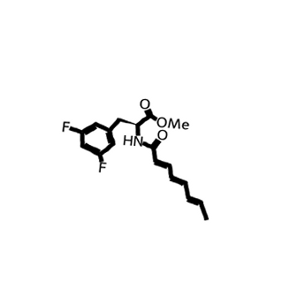 C/C=C/C=C/C=C/C(=O)N[C@@H](Cc1cc(F)cc(F)c1)C(=O)OC